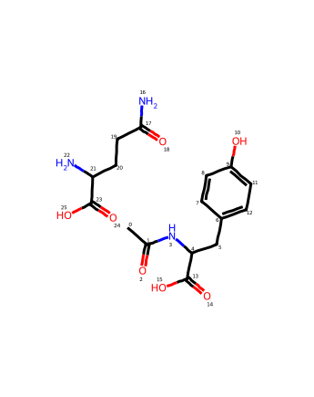 CC(=O)NC(Cc1ccc(O)cc1)C(=O)O.NC(=O)CCC(N)C(=O)O